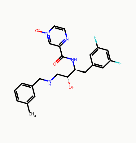 Cc1cccc(CNC[C@@H](O)[C@H](Cc2cc(F)cc(F)c2)NC(=O)c2c[n+]([O-])ccn2)c1